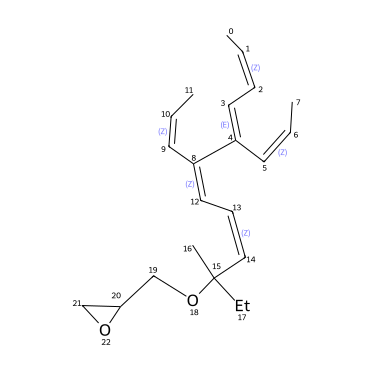 C\C=C/C=C(\C=C/C)C(/C=C\C)=C\C=C/C(C)(CC)OCC1CO1